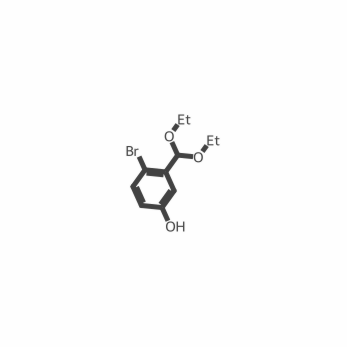 CCOC(OCC)c1cc(O)ccc1Br